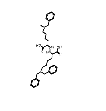 CN(CCCC[C@H](NN[C@@H](CCCCN(Cc1ccccc1)Cc1ccccc1)C(=O)O)C(=O)O)Cc1ccccc1